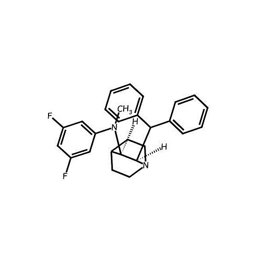 CN(c1cc(F)cc(F)c1)[C@@H]1C2CCN(CC2)[C@@H]1C(c1ccccc1)c1ccccc1